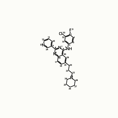 Fc1ccc(Nc2nc(-c3cccnc3)nc3ccc(CCCN4CCCCC4)cc23)cc1Cl